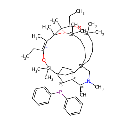 CC/C1=C(\C)C2(C)O[Si](C)(C)CCC[Si](CN(C)[C@@H](C)[C@H]3CCC[C@H]3P(c3ccccc3)c3ccccc3)(CCC[Si](C)(C)O1)CCC[Si](C)(C)OC(CC)C2C